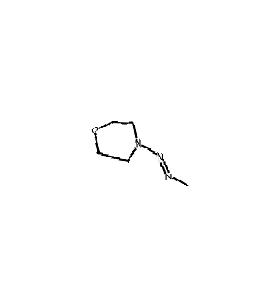 CN=NN1CCOCC1